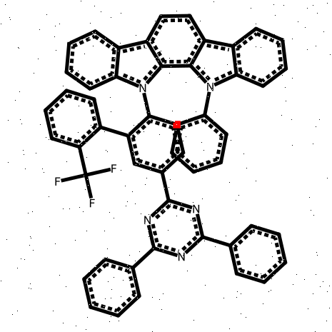 FC(F)(F)c1ccccc1-c1cc(-c2nc(-c3ccccc3)nc(-c3ccccc3)n2)ccc1-n1c2ccccc2c2ccc3c4ccccc4n(-c4ccccc4)c3c21